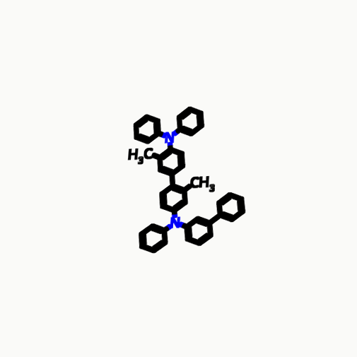 Cc1cc(N(c2ccccc2)c2cccc(-c3ccccc3)c2)ccc1-c1ccc(N(c2ccccc2)c2ccccc2)c(C)c1